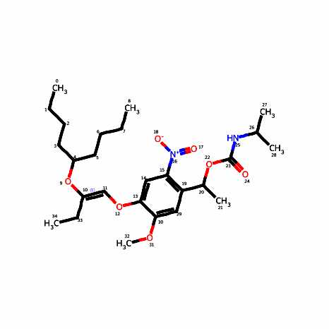 CCCCC(CCCC)O/C(=C/Oc1cc([N+](=O)[O-])c(C(C)OC(=O)NC(C)C)cc1OC)CC